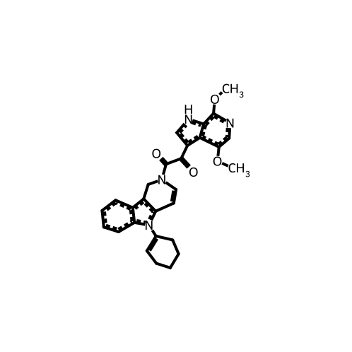 COc1ncc(OC)c2c(C(=O)C(=O)N3C=Cc4c(c5ccccc5n4C4=CCCCC4)C3)c[nH]c12